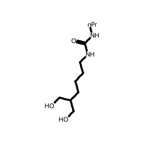 CCCNC(=O)NCCCCC(CO)CO